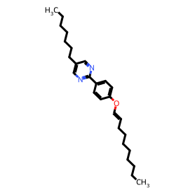 CCCCCCCCC=COc1ccc(-c2ncc(CCCCCCC)cn2)cc1